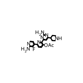 CC(=O)Oc1ccc(-c2ccnc(N)c2F)nc1-c1cc(C2CCNCC2)nc(N)n1